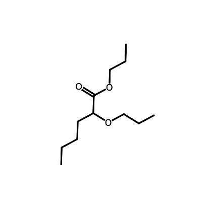 CCCCC(OCCC)C(=O)OCCC